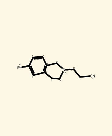 CC(C)c1ccc2c(c1)CCN(CCC#N)C2